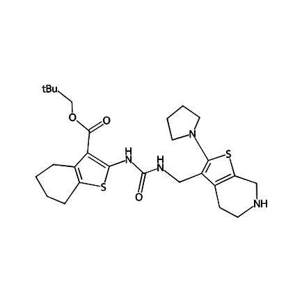 CC(C)(C)COC(=O)c1c(NC(=O)NCc2c(N3CCCC3)sc3c2CCNC3)sc2c1CCCC2